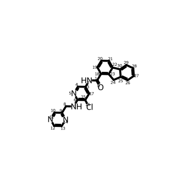 O=C(Nc1cnc(NCc2cnccn2)c(Cl)c1)c1cccc2c1Cc1ccccc1-2